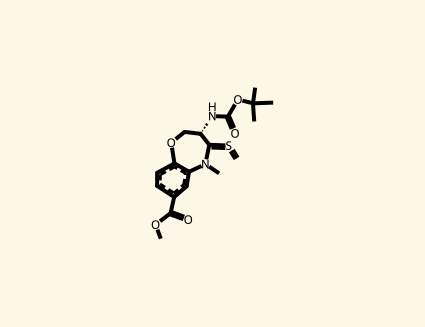 C=S=C1[C@@H](NC(=O)OC(C)(C)C)COc2ccc(C(=O)OC)cc2N1C